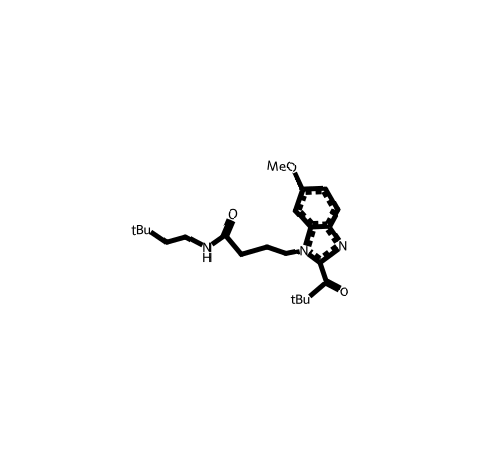 COc1ccc2nc(C(=O)C(C)(C)C)n(CCCC(=O)NCCC(C)(C)C)c2c1